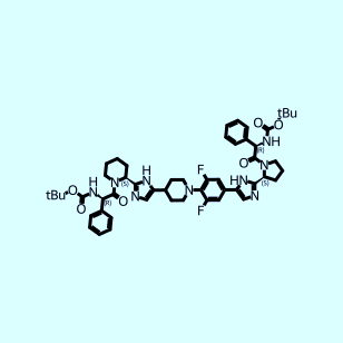 CC(C)(C)OC(=O)N[C@@H](C(=O)N1CCC[C@H]1c1ncc(-c2cc(F)c(N3CCC(c4cnc([C@@H]5CCCCN5C(=O)[C@H](NC(=O)OC(C)(C)C)c5ccccc5)[nH]4)CC3)c(F)c2)[nH]1)c1ccccc1